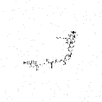 CCCCCNc1nc(N)nc2ccn(Cc3ccc(CN4CCN(C(=O)CCOCCNC(=O)CCCCNC(=O)CC(C)C(=O)O)CC4)cc3C)c12